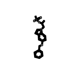 CC(Cn1ccc2cc(OCc3ccccc3)ccc21)OS(C)(=O)=O